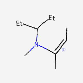 C/C=C(/C)N(C)C(CC)CC